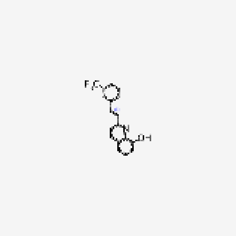 Oc1cccc2ccc(/C=C/c3cccc(C(F)(F)F)c3)nc12